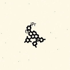 Cc1cccc(-n2c3ccc(C)cc3c3cc4ccc5c6c(cc7c(-c8c(C)cc(C)cc8C)cc(c4c75)c32)oc2ccc(C(C)C)cc26)c1